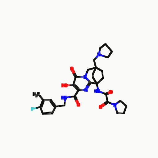 Cc1cc(CNC(=O)c2nc3n(c(=O)c2O)CC2(CN4CCCC4)CCC3(NC(=O)C(=O)N3CCCC3)CC2)ccc1F